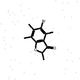 Cc1c(C)c2c(c(C)c1Br)C(=O)C(C)O2